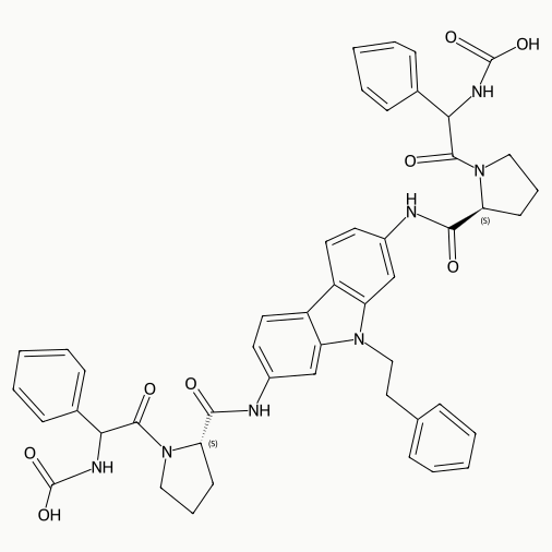 O=C(O)NC(C(=O)N1CCC[C@H]1C(=O)Nc1ccc2c3ccc(NC(=O)[C@@H]4CCCN4C(=O)C(NC(=O)O)c4ccccc4)cc3n(CCc3ccccc3)c2c1)c1ccccc1